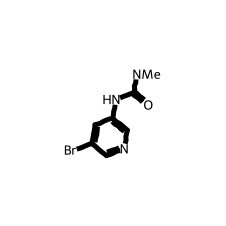 CNC(=O)Nc1cncc(Br)c1